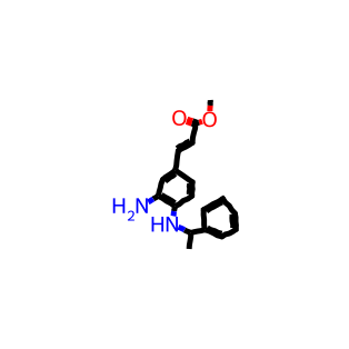 COC(=O)/C=C/c1ccc(NC(C)c2ccccc2)c(N)c1